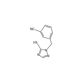 N#Cc1cccc(Cn2ncnc2S)c1